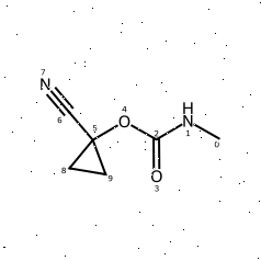 CNC(=O)OC1(C#N)CC1